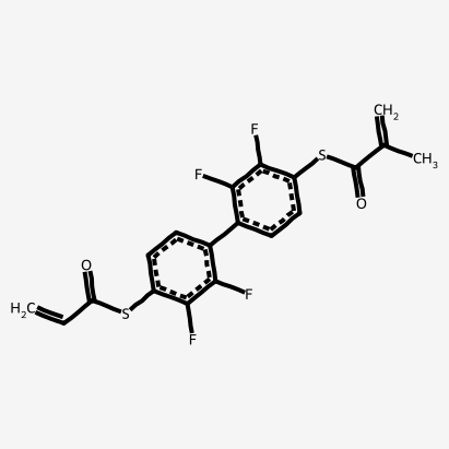 C=CC(=O)Sc1ccc(-c2ccc(SC(=O)C(=C)C)c(F)c2F)c(F)c1F